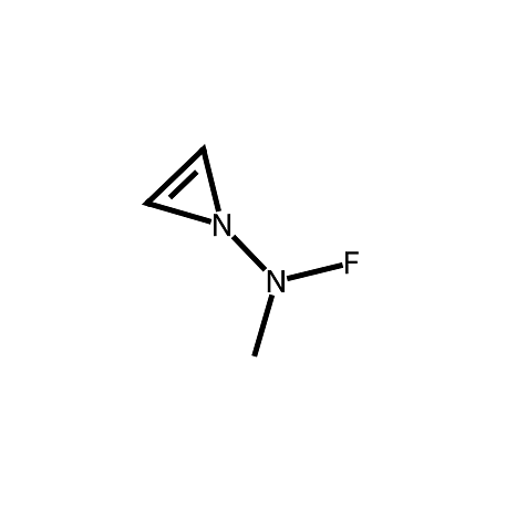 CN(F)N1C=C1